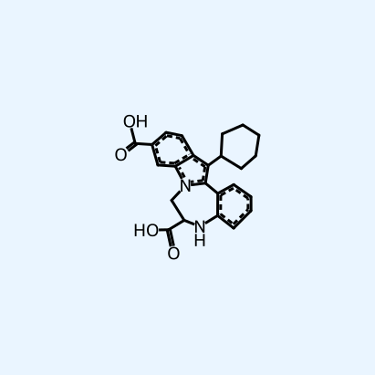 O=C(O)c1ccc2c(C3CCCCC3)c3n(c2c1)CC(C(=O)O)Nc1ccccc1-3